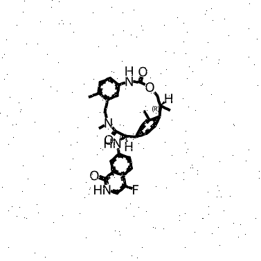 Cc1ccc2cc1CN(C)C(=O)[C@H](Nc1ccc3c(F)c[nH]c(=O)c3c1)c1ccc(c(C)c1)[C@@H](C)COC(=O)N2